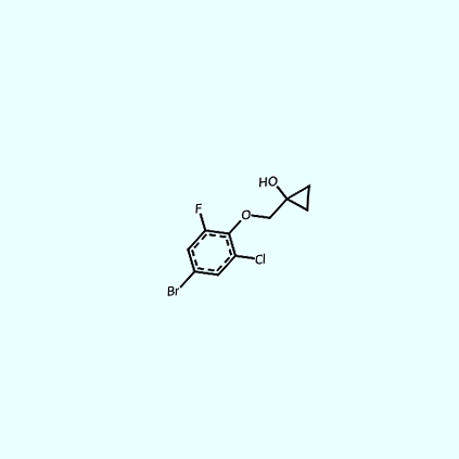 OC1(COc2c(F)cc(Br)cc2Cl)CC1